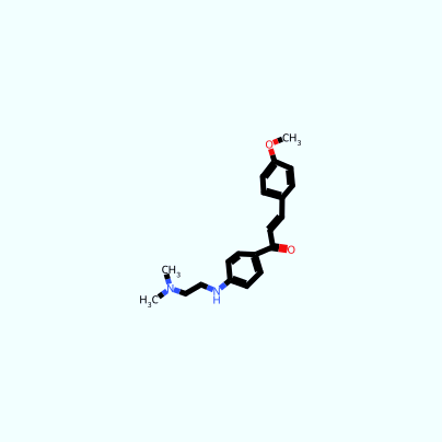 COc1ccc(/C=C/C(=O)c2ccc(NCCN(C)C)cc2)cc1